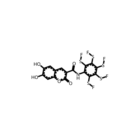 O=C(Nc1c(SF)c(SF)c(SF)c(SF)c1SF)c1cc2cc(O)c(O)cc2oc1=O